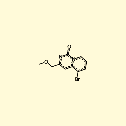 COCc1cc2c(Br)cccn2c(=O)n1